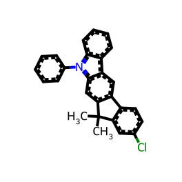 CC1(C)c2cc(Cl)ccc2-c2cc3c4ccccc4n(-c4ccccc4)c3cc21